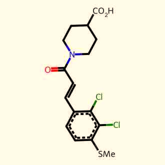 CSc1ccc(/C=C/C(=O)N2CCC(C(=O)O)CC2)c(Cl)c1Cl